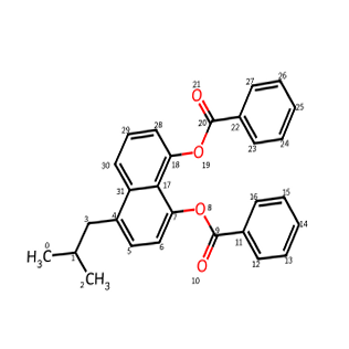 CC(C)Cc1ccc(OC(=O)c2ccccc2)c2c(OC(=O)c3ccccc3)cccc12